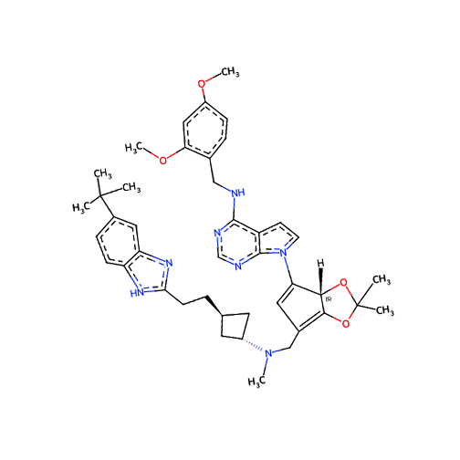 COc1ccc(CNc2ncnc3c2ccn3C2=CC(CN(C)[C@H]3C[C@H](CCc4nc5cc(C(C)(C)C)ccc5[nH]4)C3)=C3OC(C)(C)O[C@@H]23)c(OC)c1